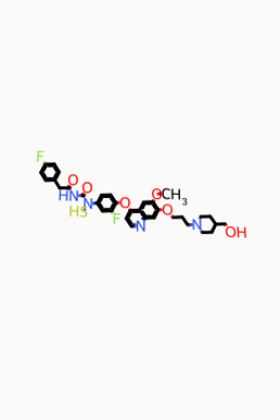 COc1cc2c(Oc3ccc(N(S)C(=O)NC(=O)Cc4ccc(F)cc4)cc3F)ccnc2cc1OCCCN1CCC(CO)CC1